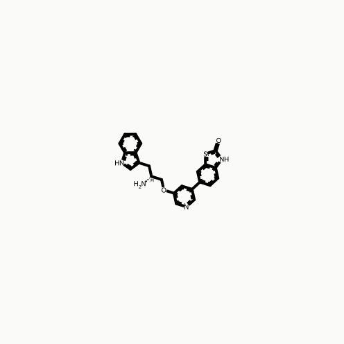 N[C@@H](COc1cncc(-c2ccc3[nH]c(=O)sc3c2)c1)Cc1c[nH]c2ccccc12